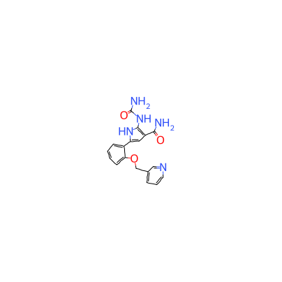 NC(=O)Nc1[nH]c(-c2ccccc2OCc2cccnc2)cc1C(N)=O